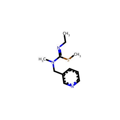 CCN=C(SC)N(C)Cc1cccnc1